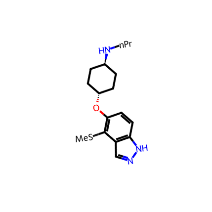 CCCN[C@H]1CC[C@H](Oc2ccc3[nH]ncc3c2SC)CC1